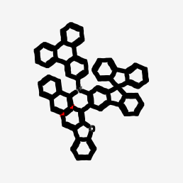 c1ccc2c(c1)-c1ccccc1C21c2ccccc2-c2cc(-c3cccc4c3oc3ccccc34)c(N(c3ccc4c5ccccc5c5ccccc5c4c3)c3cccc4ccccc34)cc21